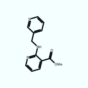 COC(=O)c1cccnc1NCc1cccnc1